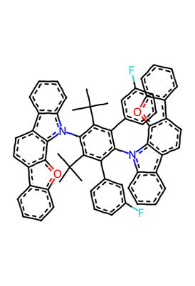 CC(C)(C)c1c(-c2cccc(F)c2)c(-n2c3ccccc3c3ccc4c5ccccc5oc4c32)c(-c2cccc(F)c2)c(C(C)(C)C)c1-n1c2ccccc2c2ccc3c4ccccc4oc3c21